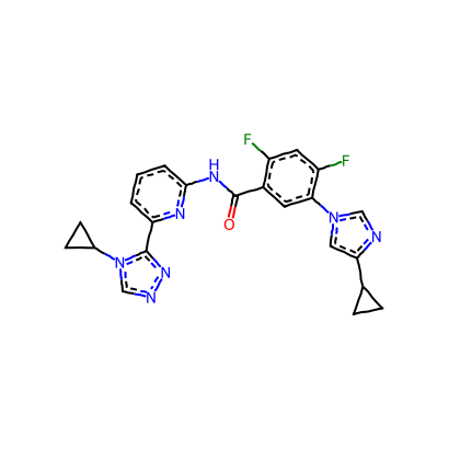 O=C(Nc1cccc(-c2nncn2C2CC2)n1)c1cc(-n2cnc(C3CC3)c2)c(F)cc1F